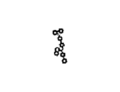 C1=C(C(Cc2ccc(-c3ccc(-n4c5ccccc5c5ccccc54)cc3)cc2)c2ccc(-c3ccccc3)cc2)c2ccccc2CC1